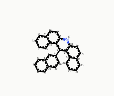 c1ccc2cc(-c3c4c(ccc5ccccc54)nc4ccc5ccccc5c34)ccc2c1